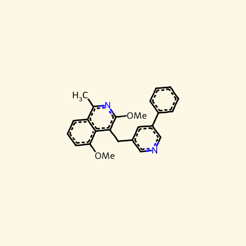 COc1nc(C)c2cccc(OC)c2c1Cc1cncc(-c2ccccc2)c1